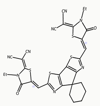 CCn1c(=C(C#N)C#N)s/c(=C\c2nc3c(s2)-c2sc(/C=c4\sc(=C(C#N)C#N)n(CC)c4=O)nc2C32CCCCC2)c1=O